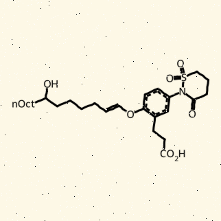 CCCCCCCCC(O)CCCCC=COc1ccc(N2C(=O)CCCS2(=O)=O)cc1CCC(=O)O